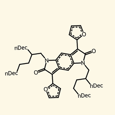 CCCCCCCCCCCCC(CCCCCCCCCC)CN1C(=O)C(c2ccco2)=c2cc3c(cc21)=C(c1ccco1)C(=O)N3CC(CCCCCCCCCC)CCCCCCCCCCCC